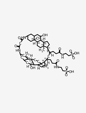 C[C@@]12CC[C@H]3C4[C@@H](O)CC5CC(CC[C@@]53C)NC(=O)CC(=O)NC3CC[C@]5(C)C(C3)C[C@@H](O)C3[C@H]6CC[C@@H]([C@H](CCC(=O)NCCS(=O)(=O)O)C[C@H](CCC(=O)NCCS(=O)(=O)O)[C@H]1CC[C@@H]42)[C@]6(C)CC[C@H]35